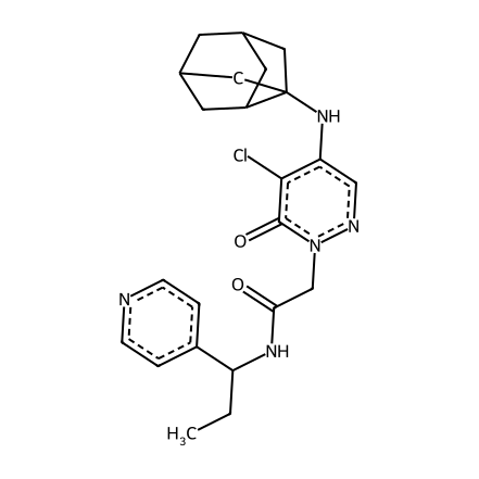 CCC(NC(=O)Cn1ncc(NC23CC4CC(CC2C4)C3)c(Cl)c1=O)c1ccncc1